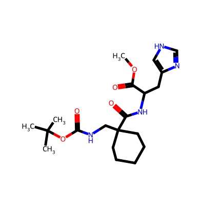 COC(=O)C(Cc1c[nH]cn1)NC(=O)C1(CNC(=O)OC(C)(C)C)CCCCC1